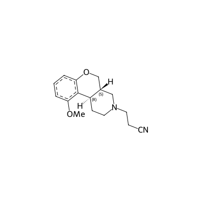 COc1cccc2c1[C@@H]1CCN(CCC#N)C[C@H]1CO2